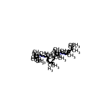 CC[C@H](OC)[C@@H](C)C1CC(O)([C@@H](C)/C=C/C=C(\C)[C@H]2O[C@H](OC)[C@@H](OC)[C@@H](OCCC[C@H](OC)[C@@H](C)[C@@H]3C[C@H]3[C@H](O)[C@@H](C)/C=C/C=C(\C)[C@H]3O[C@H](OC)[C@H](OC)[C@@H](OC)[C@H]3OC)[C@@H]2OC)C1